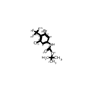 CC(C)(C)OC(=O)Nc1cc(Cl)c(C(F)(F)F)c(Br)c1